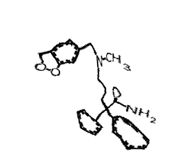 CN(CCCC(C(N)=O)(c1ccccc1)c1ccccc1)Cc1ccc2c(c1)OOC2